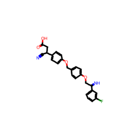 N#CC(CC(=O)O)c1ccc(OCc2ccc(OCC(=N)c3cccc(F)c3)cc2)cc1